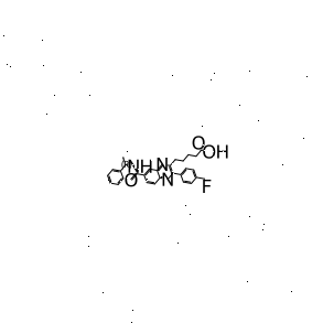 C[C@@H](NC(=O)c1ccc2nc(-c3ccc(CF)cc3)c(CCCCC(=O)O)nc2c1)c1ccccc1